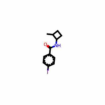 CC1CCC1NC(=O)c1ccc(I)cc1